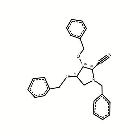 N#C[C@@H]1[C@@H](OCc2ccccc2)[C@H](OCc2ccccc2)CN1Cc1ccccc1